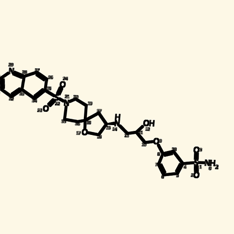 NS(=O)(=O)c1cccc(OCC(O)CN[C@H]2COC3(CCN(S(=O)(=O)c4ccc5ncccc5c4)CC3)C2)c1